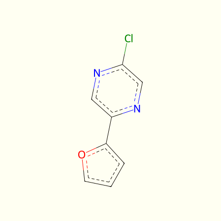 Clc1cnc(-c2ccco2)cn1